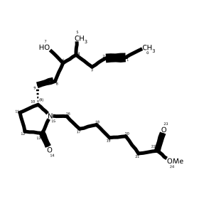 CC#CCC(C)C(O)C=C[C@H]1CCC(=O)N1CCCCCCC(=O)OC